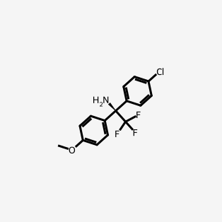 COc1ccc([C@](N)(c2ccc(Cl)cc2)C(F)(F)F)cc1